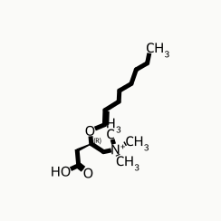 CCCCCCC=CO[C@H](CC(=O)O)C[N+](C)(C)C